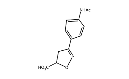 CC(=O)Nc1ccc(C2=NOC(C(=O)O)C2)cc1